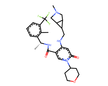 Cc1c([C@@H](C)NC(=O)c2cn(C3CCOCC3)c(=O)cc2NCC2C3CN(C)CC23)cccc1C(F)(F)F